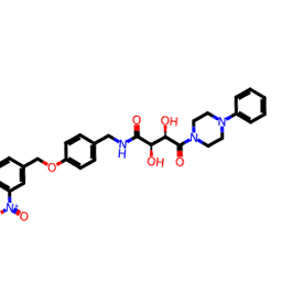 O=C(NCc1ccc(OCc2cccc([N+](=O)[O-])c2)cc1)[C@H](O)[C@@H](O)C(=O)N1CCN(c2ccccc2)CC1